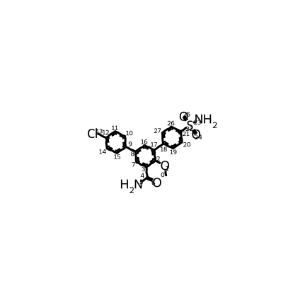 COc1c(C(N)=O)cc(-c2ccc(Cl)cc2)cc1-c1ccc(S(N)(=O)=O)cc1